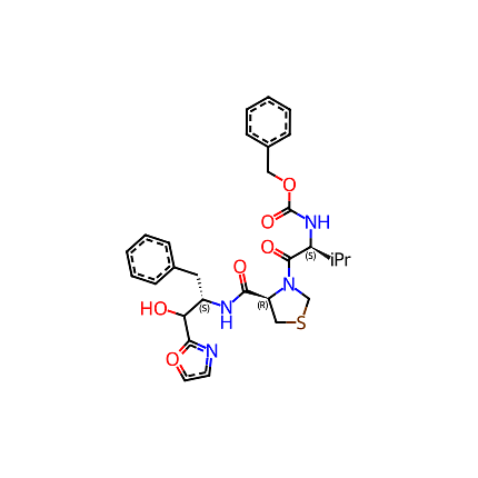 CC(C)[C@H](NC(=O)OCc1ccccc1)C(=O)N1CSC[C@H]1C(=O)N[C@@H](Cc1ccccc1)C(O)c1ncco1